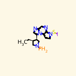 CC[C@@H]1CN(P)C[C@@H]1c1cnc2cnc3c(ccn3SI)n12